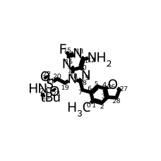 Cc1cc2c(cc1Cc1nc3c(N)nc(F)nc3n1CCS(=O)(=O)NC(C)(C)C)OCC2